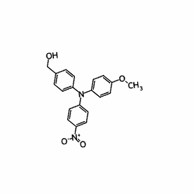 COc1ccc(N(c2ccc(CO)cc2)c2ccc([N+](=O)[O-])cc2)cc1